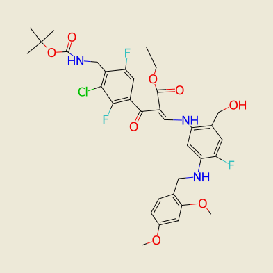 CCOC(=O)C(=CNc1cc(NCc2ccc(OC)cc2OC)c(F)cc1CO)C(=O)c1cc(F)c(CNC(=O)OC(C)(C)C)c(Cl)c1F